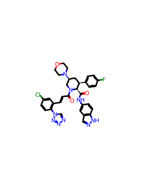 O=C(Nc1ccc2[nH]ncc2c1)[C@@H]1[C@H](c2ccc(F)cc2)C[C@H](N2CCOCC2)CN1C(=O)C=Cc1cc(Cl)ccc1-n1cnnn1